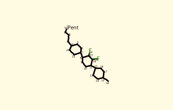 CCCC(C)CCCC1CCC(C2CCC(C3CCC(C)CC3)C(F)C2F)CC1